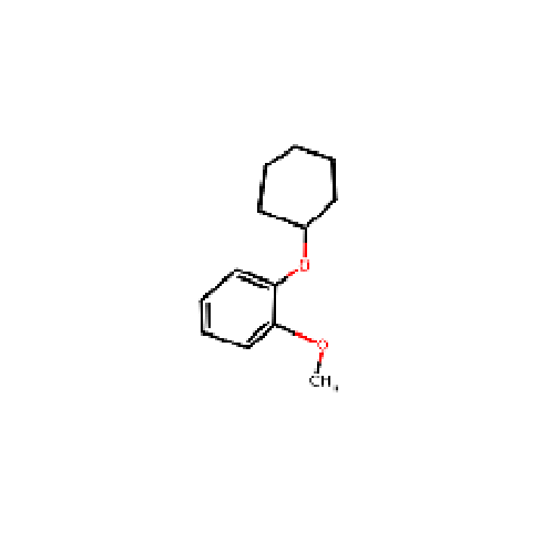 COc1ccccc1OC1CCCCC1